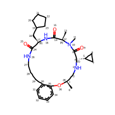 C[C@@H]1CN[C@@H](C2CC2)C(=O)N(C)[C@H](C)C(=O)N[C@H](CC2CCCC2)C(=O)NCCCc2ccccc2O1